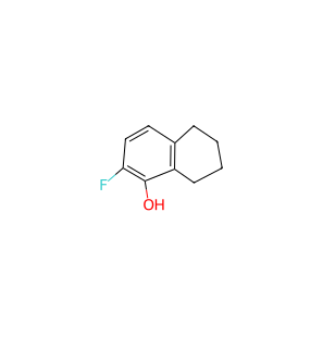 Oc1c(F)ccc2c1CCCC2